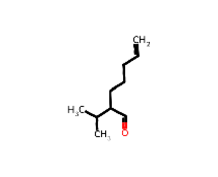 C=CCCCC(C=O)C(C)C